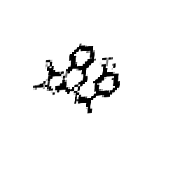 C/C(=N/OCc1ccccc1-n1c(C)nn(C)c1=O)c1cccc(C(F)(F)F)c1